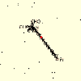 CCCOCCOCCOCCOCCOCCOCCOCCOCCOCCOCCOCCOCCC(=O)NC(COCCC=O)(COCCC=O)COCCC=O